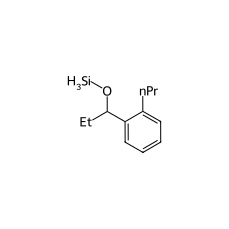 CCCc1ccccc1C(CC)O[SiH3]